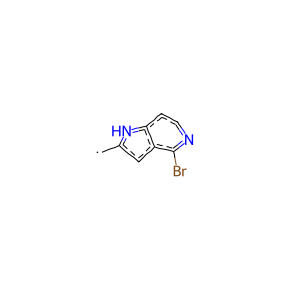 [CH2]c1cc2c(Br)nccc2[nH]1